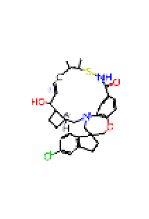 CC1C/C=C/C(O)C2CC[C@H]2CN2CC3(CCc4cc(Cl)ccc43)COc3ccc(cc32)C(=O)NSC1C